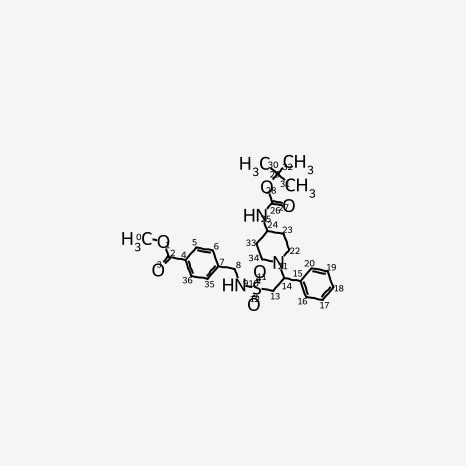 COC(=O)c1ccc(CNS(=O)(=O)CC(c2ccccc2)N2CCC(NC(=O)OC(C)(C)C)CC2)cc1